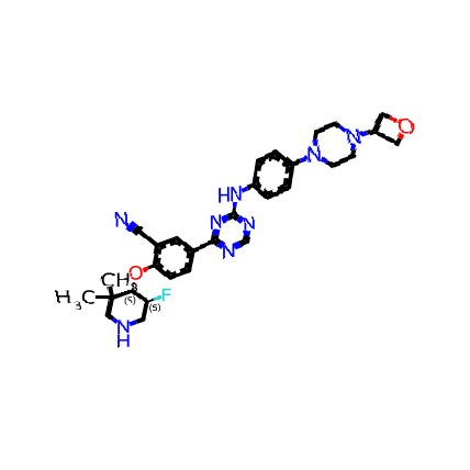 CC1(C)CNC[C@H](F)[C@H]1Oc1ccc(-c2ncnc(Nc3ccc(N4CCN(C5COC5)CC4)cc3)n2)cc1C#N